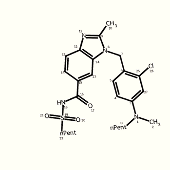 CCCCCN(C)c1ccc(Cn2c(C)nc3ccc(C(=O)NS(=O)(=O)CCCCC)cc32)c(Cl)c1